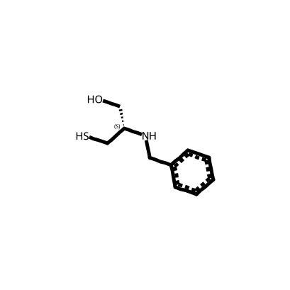 OC[C@@H](CS)NCc1ccccc1